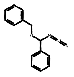 [N-]=[N+]=NC(OCc1ccccc1)c1ccccc1